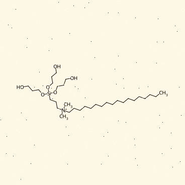 CCCCCCCCCCCCCCCCCC[N+](C)(C)CCC[Si](OCCCO)(OCCCO)OCCCO